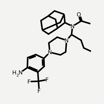 CCCC(N1CCN(c2ccc(N)c(C(F)(F)F)c2)CC1)N(C(C)=O)C1C2CC3CC(C2)CC1C3